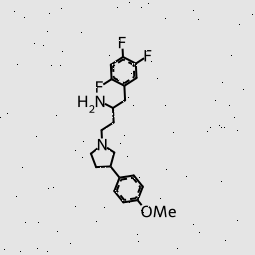 COc1ccc(C2CCN(CCC(N)Cc3cc(F)c(F)cc3F)C2)cc1